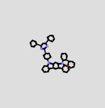 c1ccc(-c2cc(-c3ccccc3)nc(-c3ccc(-n4c5ccccc5c5cc6c7ccccc7n(-c7ccccc7-c7ccccc7)c6cc54)cc3)n2)cc1